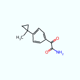 CC1(c2ccc(C(=O)C(N)=O)cc2)CC1